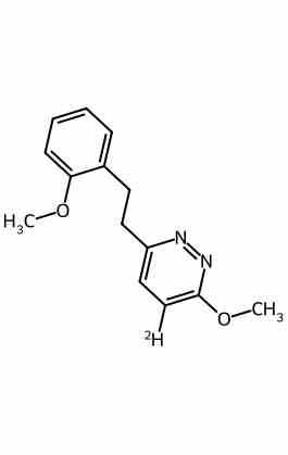 [2H]c1cc(CCc2ccccc2OC)nnc1OC